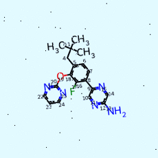 CC(C)(C)Cc1ccc(-c2cnc(N)cn2)c(F)c1Oc1ncccn1